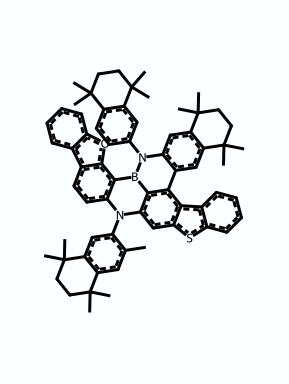 Cc1cc2c(cc1N1c3cc4sc5ccccc5c4c4c3B(c3c1ccc1c3oc3ccccc31)N(c1ccc3c(c1)C(C)(C)CCC3(C)C)c1cc3c(cc1-4)C(C)(C)CCC3(C)C)C(C)(C)CCC2(C)C